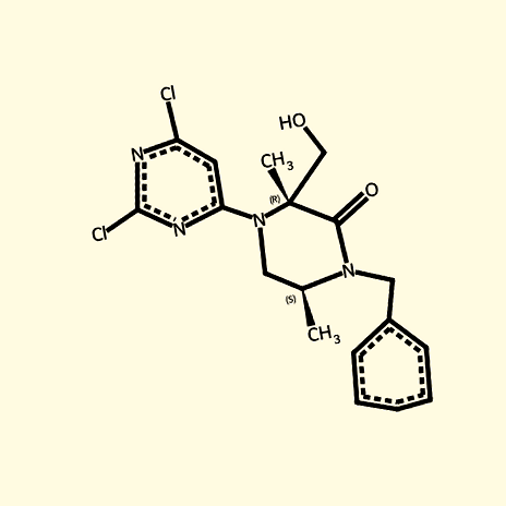 C[C@H]1CN(c2cc(Cl)nc(Cl)n2)[C@](C)(CO)C(=O)N1Cc1ccccc1